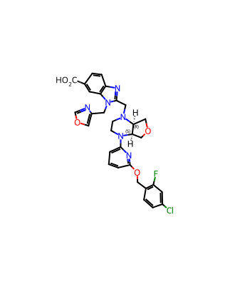 O=C(O)c1ccc2nc(CN3CCN(c4cccc(OCc5ccc(Cl)cc5F)n4)[C@@H]4COC[C@@H]43)n(Cc3cocn3)c2c1